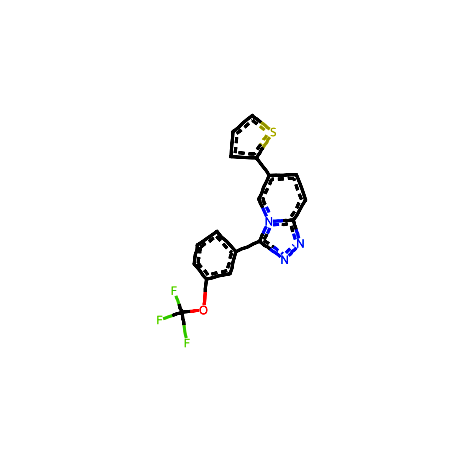 FC(F)(F)Oc1cccc(-c2nnc3ccc(-c4cccs4)cn23)c1